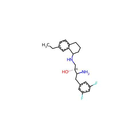 CCc1ccc2c(c1)C(NC[C@@H](O)C(N)Cc1cc(F)cc(F)c1)CCC2